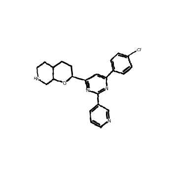 Clc1ccc(-c2cc(C3CCC4CCNCC4O3)nc(-c3cccnc3)n2)cc1